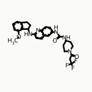 COc1cccc2c1C(Nc1ccc3cc(NC(=O)NC4CCN(C(=O)CC(F)(F)F)CC4)ccc3n1)CC2